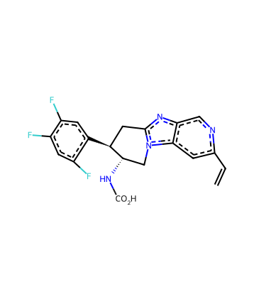 C=Cc1cc2c(cn1)nc1n2C[C@H](NC(=O)O)[C@@H](c2cc(F)c(F)cc2F)C1